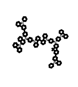 CC1(C)c2cc(-c3ccc4c(c3)c3ccccc3n4-c3ccccc3)ccc2-c2ccc(N(c3ccc(-n4c5ccccc5c5ccccc54)cc3)c3ccc(-n4c5ccccc5c5c(-c6cccc7c6c6ccccc6n7-c6ccc(N(c7ccc(-c8ccc9c(c8)c8ccccc8n9-c8ccccc8)cc7)c7ccc(-n8c9ccccc9c9ccccc98)c8ccccc78)cc6)cccc54)cc3)cc21